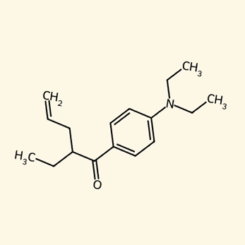 C=CCC(CC)C(=O)c1ccc(N(CC)CC)cc1